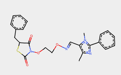 Cc1nc(-c2ccccc2)n(C)c1/C=N/OCCON1C(=O)SC(Cc2ccccc2)C1=O